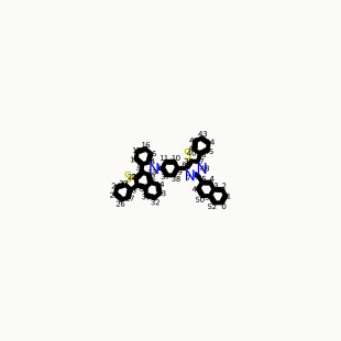 c1ccc2cc(-c3nc(-c4ccc(-n5c6ccccc6c6c7sc8ccccc8c7c7ccccc7c65)cc4)c4sc5ccccc5c4n3)ccc2c1